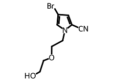 N#Cc1cc(Br)cn1CCOCCO